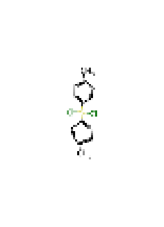 Cc1ccc(S(Cl)(Cl)c2ccc(C)cc2)cc1